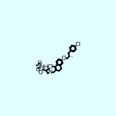 C[C@H](COc1ccc2c(c1)CCC(CN1CC(C(=O)NS(C)(=O)=O)C1)=C2Cl)Cc1ccc(Cl)cc1